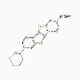 CCCCCCCCCCc1ccc2c(c1)sc1c3ccc(C4=CCCCC4)cc3sc21